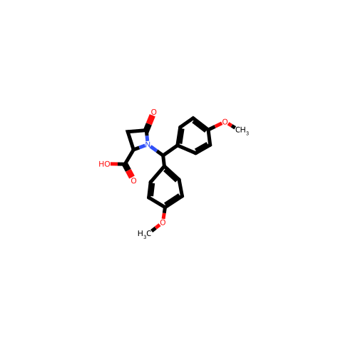 COc1ccc(C(c2ccc(OC)cc2)N2C(=O)CC2C(=O)O)cc1